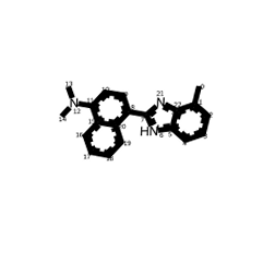 Cc1cccc2[nH]c(-c3ccc(N(C)C)c4ccccc34)nc12